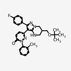 Cc1ccccc1-n1nc(-c2c(-c3ccc(F)cc3)nn3c2NCC(COC(C)(C)C)C3)ccc1=O